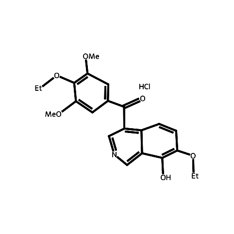 CCOc1ccc2c(C(=O)c3cc(OC)c(OCC)c(OC)c3)cncc2c1O.Cl